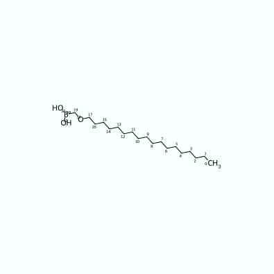 CCCCCCCCCCCCCCCCCCOCB(O)O